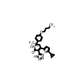 O=C1N[C@@](c2ccc(OCCCC(F)(F)F)cc2)(C(F)(F)F)CC(c2ccc(C3CC3)s2)=C1c1nnn[nH]1